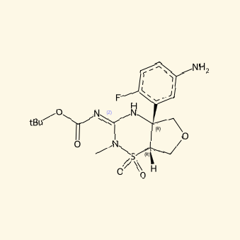 CN1/C(=N\C(=O)OC(C)(C)C)N[C@]2(c3cc(N)ccc3F)COC[C@@H]2S1(=O)=O